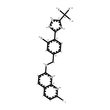 Fc1ccc2ccc(OCc3ccc(-c4noc(C(F)(F)F)n4)c(F)c3)nc2n1